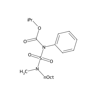 CCCCCCCCN(C)S(=O)(=O)N(C(=O)OC(C)C)c1ccccc1